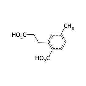 Cc1ccc(C(=O)O)c(CCC(=O)O)c1